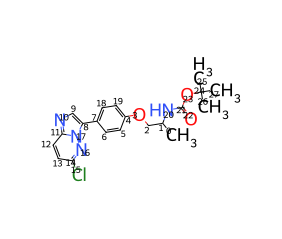 CC(COc1ccc(-c2cnc3ccc(Cl)nn23)cc1)NC(=O)OC(C)(C)C